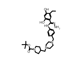 CCc1cc(C(=NN)Nc2ccc(CN3CCN(CC4CCN(C(=O)OC(C)(C)C)CC4)CC3)cc2)c(O)cc1O